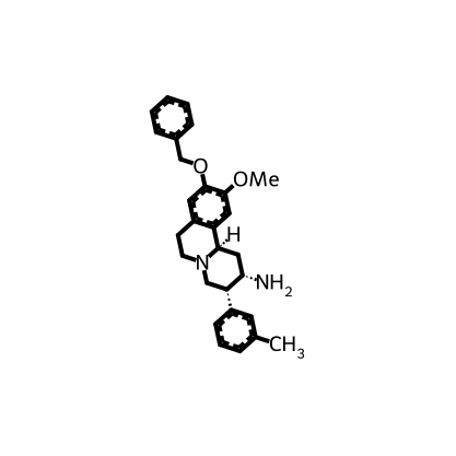 COc1cc2c(cc1OCc1ccccc1)CCN1C[C@@H](c3cccc(C)c3)[C@@H](N)C[C@H]21